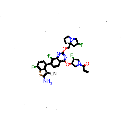 C=CC(=O)N1CC(F)C(Oc2nc(OCC34CCCN3CC(F)C4)nc3c(F)c(-c4ccc(F)c5sc(N)c(C#N)c45)ccc23)C1